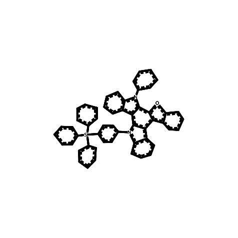 c1ccc(-n2c3ccccc3c3c2c2oc4ccccc4c2c2c4ccccc4n(-c4ccc([Si](c5ccccc5)(c5ccccc5)c5ccccc5)cc4)c23)cc1